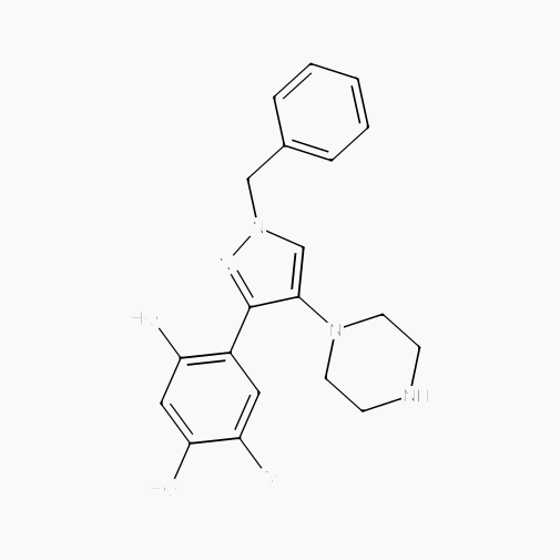 Oc1cc(O)c(-c2nn(Cc3ccccc3)cc2N2CCNCC2)cc1Br